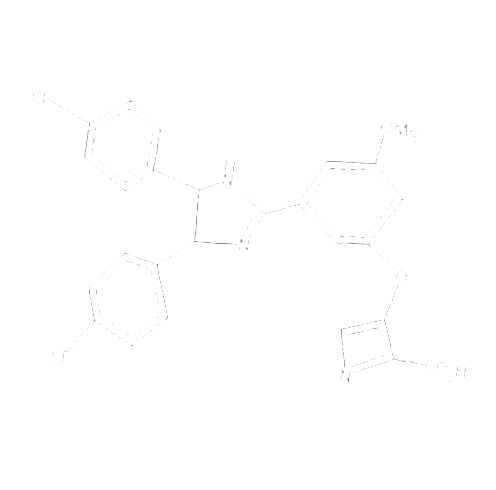 COc1cc(OC2=CN=C2C(=O)O)cc(C2=NC(c3ccc(Cl)cc3)C(c3ccc(Cl)cc3)N2)c1